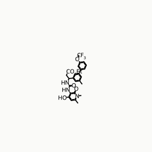 CCOC(=O)CC(NC(=O)Nc1c(O)cc(C)n(C)c1=O)c1cc(C)cc(-c2cccc(OC(F)(F)F)c2)c1